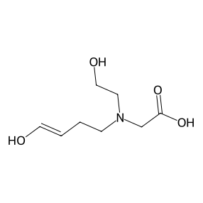 O=C(O)CN(CCO)CCC=CO